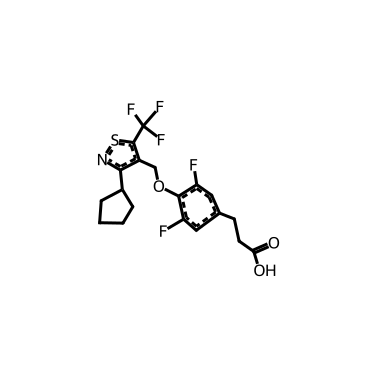 O=C(O)CCc1cc(F)c(OCc2c(C3CCCC3)nsc2C(F)(F)F)c(F)c1